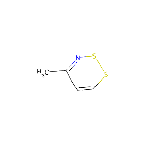 CC1=NSSC=C1